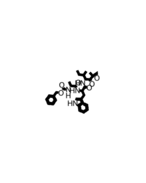 CCC(C)C(NC(=O)C(Cc1c[nH]c2ccccc12)NC(=O)C(C)NC(=O)OCc1ccccc1)C(=O)C1(C)CO1